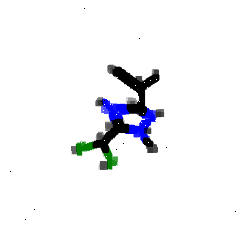 C=C(C)c1nc(C(F)F)n(C)n1